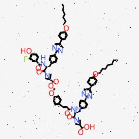 CCCCCCCOc1ccc(-c2cnc(-c3ccc(C[C@H](NC(=O)/C=C/c4ccc(OCOC(=O)C5CN(C(=O)[C@H](Cc6ccc(-c7ncc(-c8ccc(OCCCCCCC)cc8)cn7)cc6)NC(=O)c6ccc(O)c(F)c6)C5)cc4)C(=O)N4CC(C(=O)O)C4)cc3)nc2)cc1